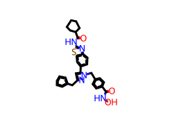 O=C(NO)c1ccc(Cn2nc(Cc3ccccc3)cc2-c2ccc3nc(NC(=O)C4CCCCC4)sc3c2)cc1